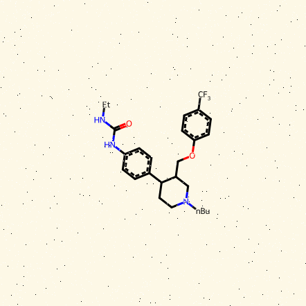 CCCCN1CCC(c2ccc(NC(=O)NCC)cc2)C(COc2ccc(C(F)(F)F)cc2)C1